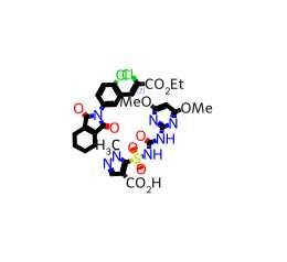 CCOC(=O)/C(Cl)=C/c1cc(N2C(=O)C3=C(CCCC3)C2=O)ccc1Cl.COc1cc(OC)nc(NC(=O)NS(=O)(=O)c2c(C(=O)O)cnn2C)n1